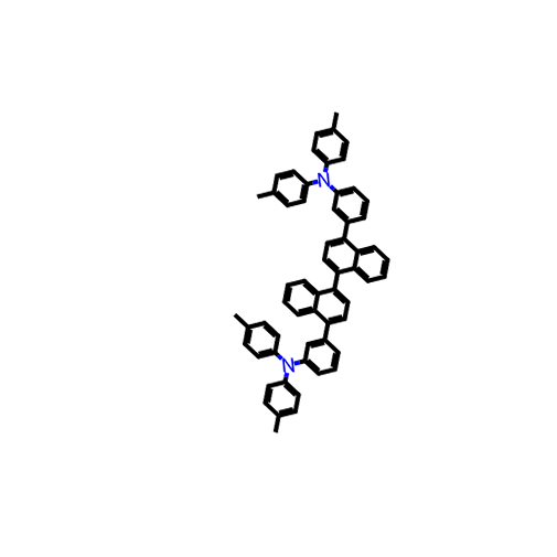 Cc1ccc(N(c2ccc(C)cc2)c2cccc(-c3ccc(-c4ccc(-c5cccc(N(c6ccc(C)cc6)c6ccc(C)cc6)c5)c5ccccc45)c4ccccc34)c2)cc1